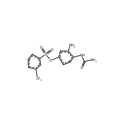 NC(=O)Nc1ccc(OS(=O)(=O)c2cccc(C(F)(F)F)c2)cc1N